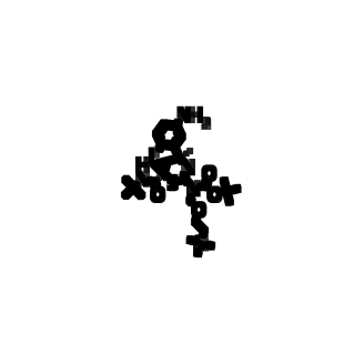 CC(C)(C)NC(=O)[C@]12CC1[C@@](C)(c1cc(N)ccc1F)N=C(N(COCC[Si](C)(C)C)C(=O)OC(C)(C)C)S2